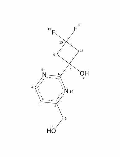 OCc1ccnc(C2(O)CC(F)(F)C2)n1